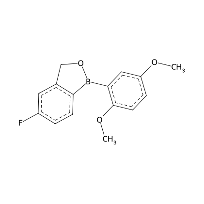 COc1ccc(OC)c(B2OCc3cc(F)ccc32)c1